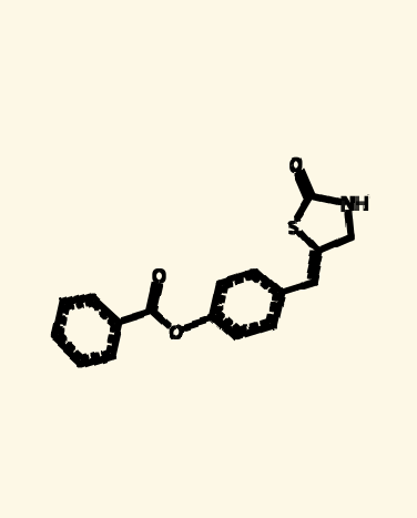 O=C1NC/C(=C/c2ccc(OC(=O)c3ccccc3)cc2)S1